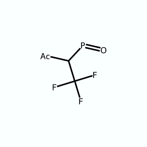 CC(=O)C(P=O)C(F)(F)F